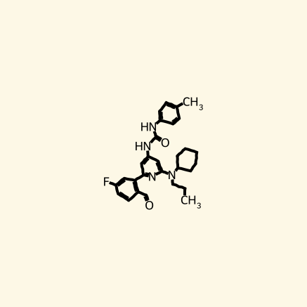 CCCN(c1cc(NC(=O)Nc2ccc(C)cc2)cc(-c2cc(F)ccc2C=O)n1)C1CCCCC1